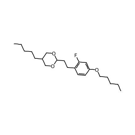 CCCCCOc1ccc(CCC2OCC(CCCCC)CO2)c(F)c1